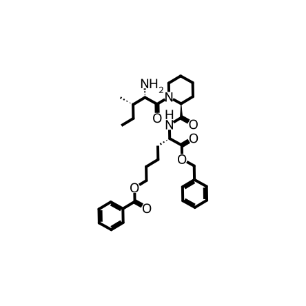 CC[C@H](C)[C@H](N)C(=O)N1CCCC[C@H]1C(=O)N[C@@H](CCCCOC(=O)c1ccccc1)C(=O)OCc1ccccc1